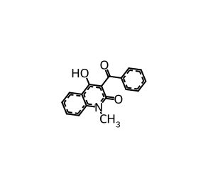 Cn1c(=O)c(C(=O)c2ccccc2)c(O)c2ccccc21